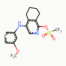 O=S(=O)(Oc1ncc(Nc2cccc(OC(F)(F)F)c2)c2c1CCCC2)C(F)(F)F